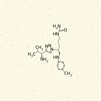 [CH2]c1ccc(NC[C@H](CCCNC(N)=O)n2cc([C@@H](N)C(C)C)nn2)cc1